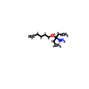 CCCCCOC(N)(CC)CC